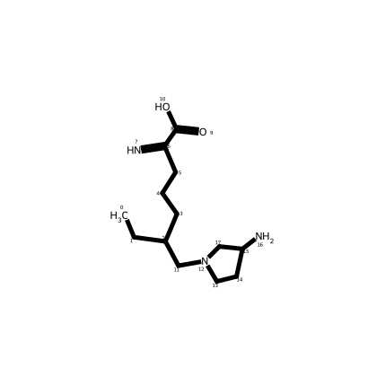 CCC(CCCC(=N)C(=O)O)CN1CCC(N)C1